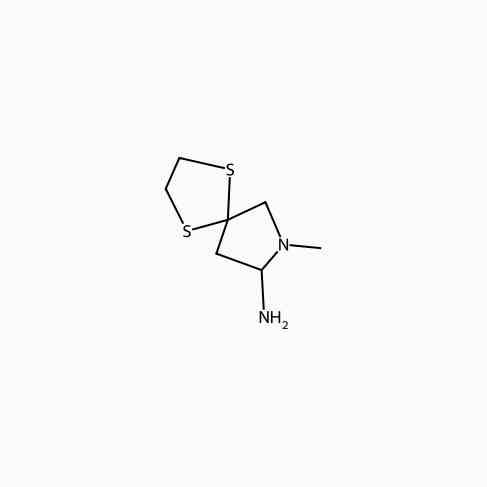 CN1CC2(CC1N)SCCS2